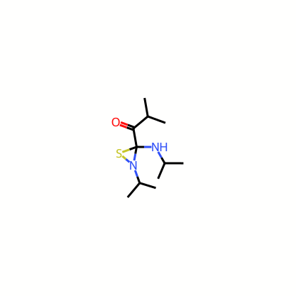 CC(C)NC1(C(=O)C(C)C)SN1C(C)C